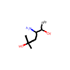 CCCC(O)C(N)CC(C)(C)O